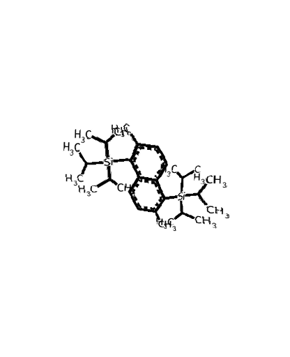 Cc1ccc2c([Si](C(C)C)(C(C)C)C(C)C)c(C)ccc2c1[Si](C(C)C)(C(C)C)C(C)C